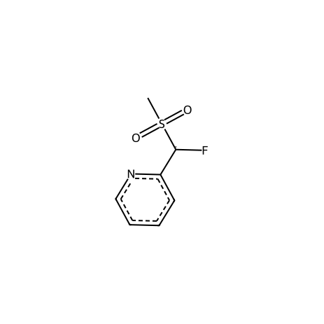 CS(=O)(=O)[C](F)c1ccccn1